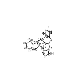 Cc1nc(C(=O)N2CCc3[nH]cnc3[C@H]2c2nc3c(C)cccc3o2)n(C)n1